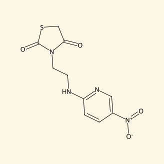 O=C1CSC(=O)N1CCNc1ccc([N+](=O)[O-])cn1